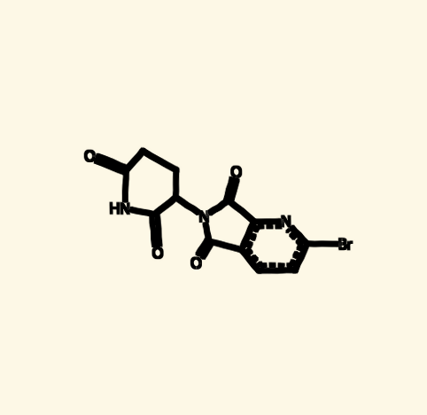 O=C1CCC(N2C(=O)c3ccc(Br)nc3C2=O)C(=O)N1